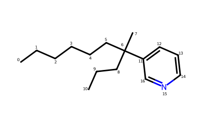 CCCCCCC(C)(CCC)c1cccnc1